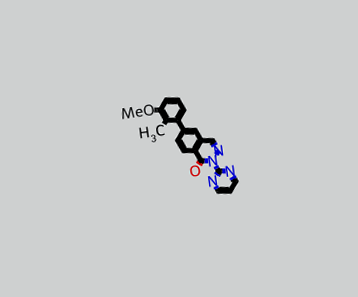 COc1cccc(-c2ccc3c(=O)n(-c4ncccn4)ncc3c2)c1C